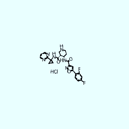 Cl.O=C(N[C@H]1CCNC[C@@H]1C(=O)NC1(c2ncccn2)CC1)c1cc(-c2ccc(F)cc2F)on1